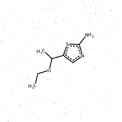 CCOC(C)c1cnc(N)s1